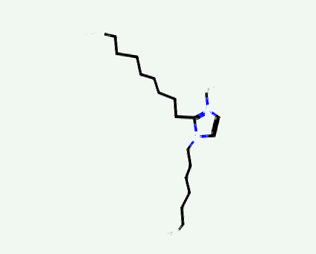 CCCCCCCCCCCCCCCCCCc1n(CCCCCCCCCCCCCCCC)cc[n+]1CCC